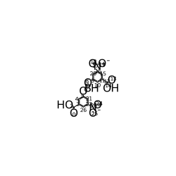 O=C(O)c1cc(OBOc2cc(C(=O)O)cc([N+](=O)[O-])c2)cc([N+](=O)[O-])c1